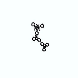 CN1C(c2ccccc2)=NC(c2ccc(-n3c4ccccc4c4cc(-c5ccc6c(c5)c5ccccc5n6-c5ccccc5)ccc43)cc2)=NC1C1C=CC=CC1